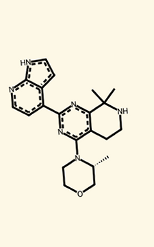 C[C@@H]1COCCN1c1nc(-c2ccnc3[nH]ccc23)nc2c1CCNC2(C)C